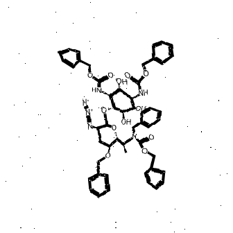 C[C@@H]([C@H]1OC(O[C@H]2[C@H](O)[C@@H](O)[C@H](NC(=O)OCc3ccccc3)[C@@H](O)[C@@H]2NC(=O)OCc2ccccc2)[C@H](N=[N+]=[N-])C[C@@H]1OCc1ccccc1)N(Cc1ccccc1)C(=O)OCc1ccccc1